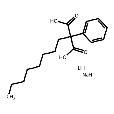 CCCCCCCCC(C(=O)O)(C(=O)O)c1ccccc1.[LiH].[NaH]